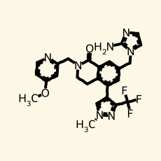 COc1ccnc(CN2CCc3c(cc(Cn4ccnc4N)cc3-c3cn(C)nc3C(F)(F)F)C2=O)c1